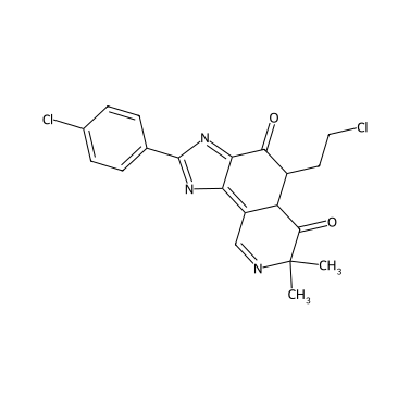 CC1(C)N=CC2=C3N=C(c4ccc(Cl)cc4)N=C3C(=O)C(CCCl)C2C1=O